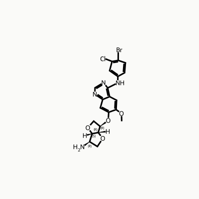 COc1cc2c(Nc3ccc(Br)c(Cl)c3)ncnc2cc1O[C@@H]1CO[C@@H]2[C@H]1OC[C@H]2N